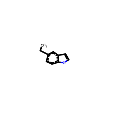 CCc1ccc2c(c1)C=C[N]2